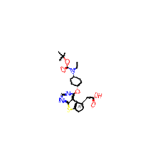 CCN(C(=O)OC(C)(C)C)[C@H]1CC[C@H](Oc2ncnc3sc4c(c23)[C@@H](CC(=O)O)CC4)CC1